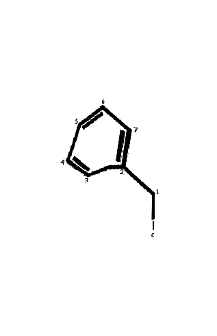 ICc1[c]cccc1